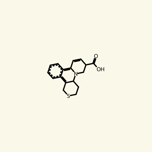 O=C(O)C1C=CC2=c3ccccc3=C3CSCCC3N2C1